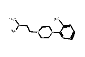 CN(C)CCN1CCN(c2ncccc2C=O)CC1